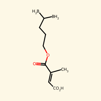 BC(B)CCCOC(=O)/C(C)=C/C(=O)O